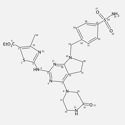 CCOC(=O)c1sc(Nc2nc(N3CCNC(=O)C3)c3c(n2)N(Cc2ccc(S(N)(=O)=O)cc2)CC3)nc1C